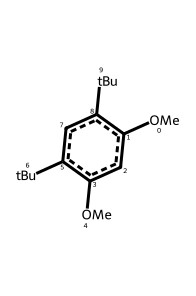 COc1cc(OC)c(C(C)(C)C)cc1C(C)(C)C